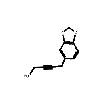 CCC#CCc1ccc2c(c1)OCO2